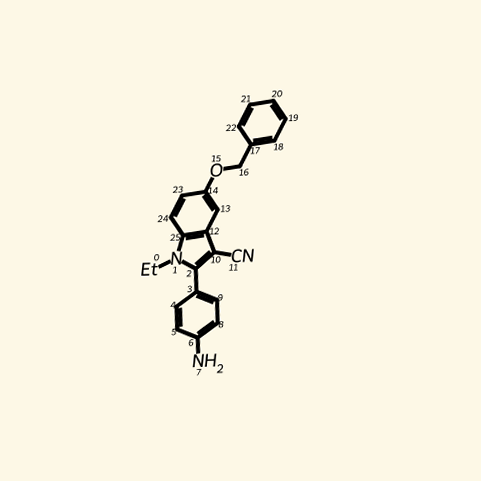 CCn1c(-c2ccc(N)cc2)c(C#N)c2cc(OCc3ccccc3)ccc21